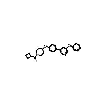 O=C(C1CCC1)N1CCC(Oc2ccc(-c3cncc(Oc4ccccc4)c3)cc2)CC1